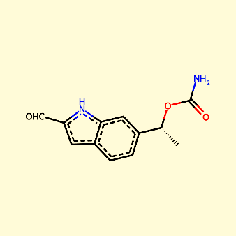 C[C@@H](OC(N)=O)c1ccc2cc(C=O)[nH]c2c1